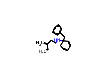 C=CC(=C)CCNC1(Cc2ccccc2)C=CC=CC1